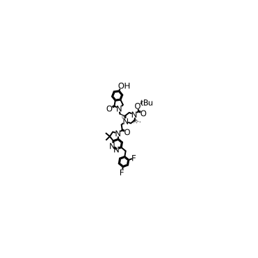 C[C@@H]1CN(CC(=O)N2CC(C)(C)c3nnc(Cc4ccc(F)cc4F)cc32)[C@@H](CN2Cc3cc(O)ccc3C2=O)CN1C(=O)OC(C)(C)C